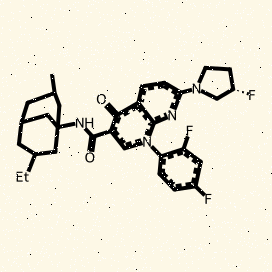 CCC1CC2CC(C)CC(NC(=O)c3cn(-c4ccc(F)cc4F)c4nc(N5CC[C@H](F)C5)ccc4c3=O)(C1)C2